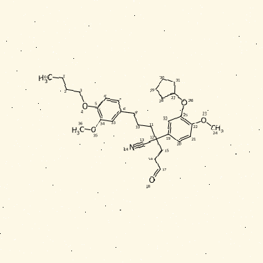 CCCCOc1ccc(CCCC(C#N)(CCC=O)c2ccc(OC)c(OC3CCCC3)c2)cc1OC